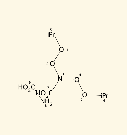 CC(C)OON(OOC(C)C)C(=O)O.NC(=O)O